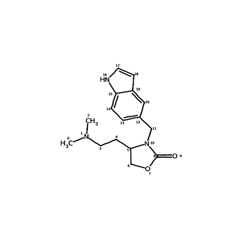 CN(C)CCC1COC(=O)N1Cc1ccc2[nH]ccc2c1